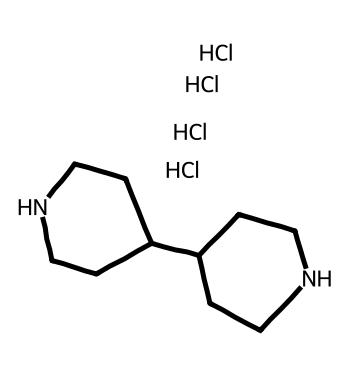 C1CC(C2CCNCC2)CCN1.Cl.Cl.Cl.Cl